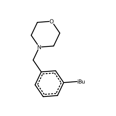 CCC(C)c1cccc(CN2CCOCC2)c1